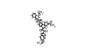 COCCN(Cc1ccccc1)S(=O)(=O)c1ccc2c(c1)C1(CCN(C(C)=O)C1)CN2C(=O)Nc1nc2ccc(OC)nc2s1